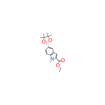 CCOC(=O)c1cc2cc(B3OC(C)(C)C(C)(C)O3)ccc2n1C